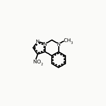 CN1Cn2ncc([N+](=O)[O-])c2-c2ccccc21